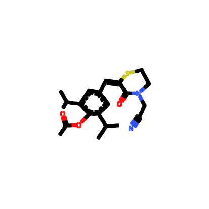 CC(=O)Oc1c(C(C)C)cc(/C=C2/SCCN(CC#N)C2=O)cc1C(C)C